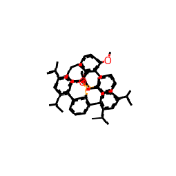 COc1cccc(OC)c1-c1ccccc1P(c1c(-c2c(C(C)C)cc(C(C)C)cc2C(C)C)cccc1-c1c(C(C)C)cc(C(C)C)cc1C(C)C)C1CCCCC1